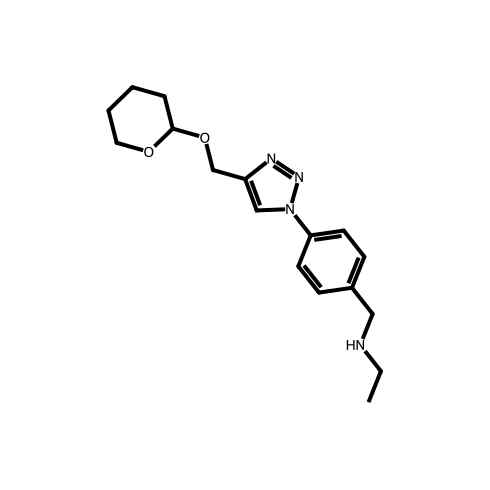 CCNCc1ccc(-n2cc(COC3CCCCO3)nn2)cc1